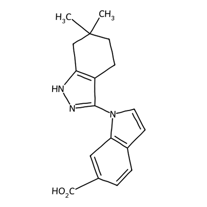 CC1(C)CCc2c(-n3ccc4ccc(C(=O)O)cc43)n[nH]c2C1